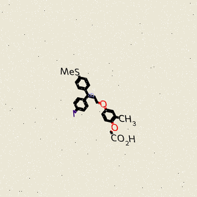 CSc1ccc(/C(=C/COc2ccc(OCC(=O)O)c(C)c2)c2ccc(I)cc2)cc1